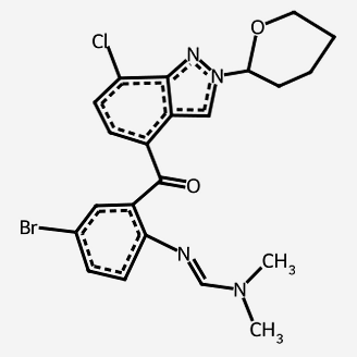 CN(C)/C=N/c1ccc(Br)cc1C(=O)c1ccc(Cl)c2nn(C3CCCCO3)cc12